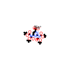 CC(C)(C)OC(=O)N(C(=O)OC(C)(C)C)c1cc(C(=O)[O-])nc(N(C(=O)OC(C)(C)C)C(=O)OC(C)(C)C)n1.[Na+]